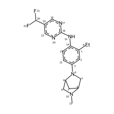 CCc1cc(N2CC3CC2CN3C)ccc1Nc1ncc(C(F)F)cn1